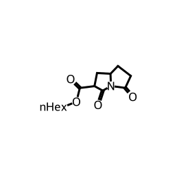 CCCCCCOC(=O)C1CC2CCC(=O)N2C1=O